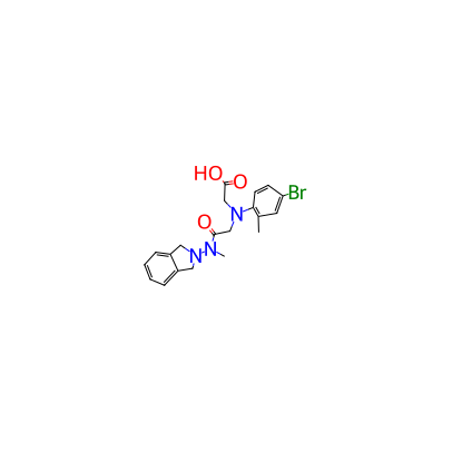 Cc1cc(Br)ccc1N(CC(=O)O)CC(=O)N(C)N1Cc2ccccc2C1